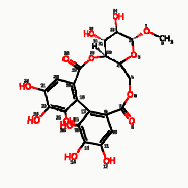 CO[C@@H]1OC2COC(=O)c3cc(O)c(O)c(O)c3-c3c(cc(O)c(O)c3O)C(=O)O[C@H]2[C@H](O)C1O